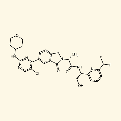 C[C@H](C(=O)N[C@H](CO)c1cccc(C(F)F)n1)N1Cc2ccc(-c3nc(NC4CCOCC4)ncc3Cl)cc2C1=O